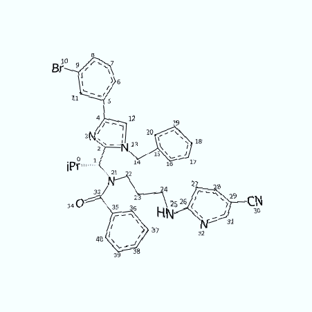 CC(C)[C@H](c1nc(-c2cccc(Br)c2)cn1Cc1ccccc1)N(CCCNc1ccc(C#N)cn1)C(=O)c1ccccc1